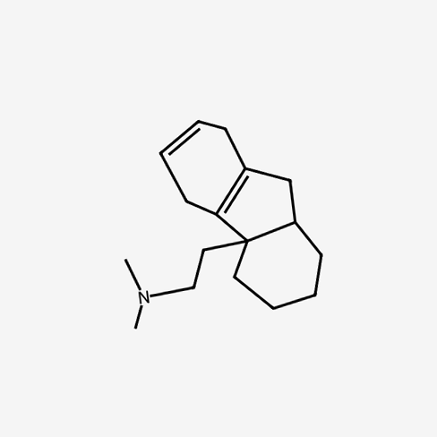 CN(C)CCC12CCCCC1CC1=C2CC=CC1